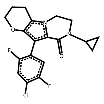 O=C1c2c(-c3cc(F)c(Cl)cc3F)c3c(n2CCN1C1CC1)CCCO3